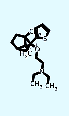 CCN(CC)CCOC1(c2cccs2)CC2CCC1(C)C2(C)C